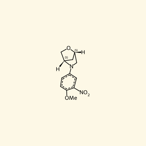 COc1ccc(N2C[C@@H]3C[C@H]2CO3)cc1[N+](=O)[O-]